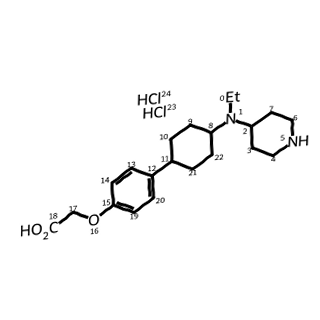 CCN(C1CCNCC1)C1CCC(c2ccc(OCC(=O)O)cc2)CC1.Cl.Cl